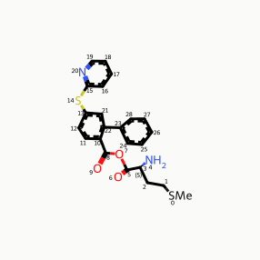 CSCC[C@H](N)C(=O)OC(=O)c1ccc(Sc2ccccn2)cc1-c1ccccc1